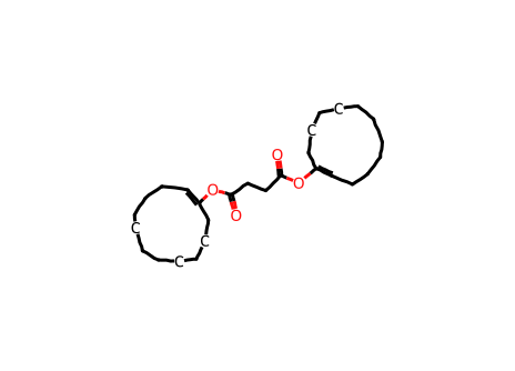 O=C(CCC(=O)OC1=CCCCCCCCCCC1)OC1=CCCCCCCCCCC1